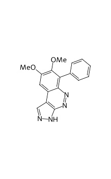 COc1cc2c(nnc3[nH]ncc32)c(-c2ccccc2)c1OC